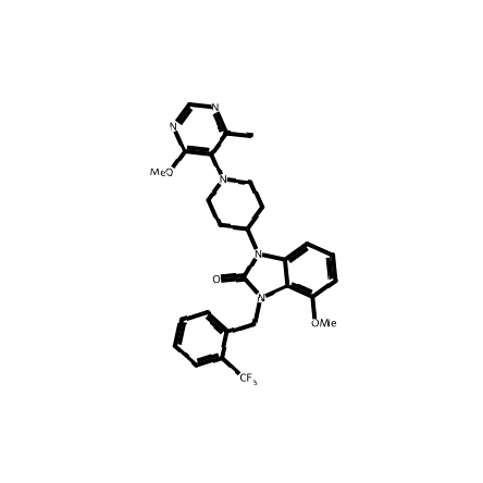 COc1ncnc(C)c1N1CCC(n2c(=O)n(Cc3ccccc3C(F)(F)F)c3c(OC)cccc32)CC1